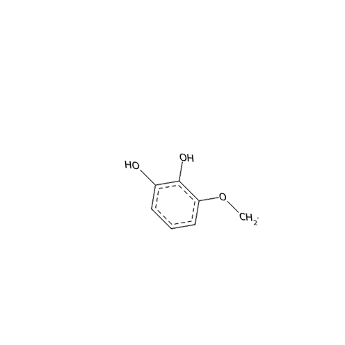 [CH2]Oc1cccc(O)c1O